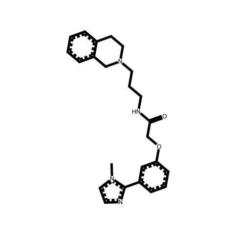 Cn1ccnc1-c1cccc(OCC(=O)NCCCN2CCc3ccccc3C2)c1